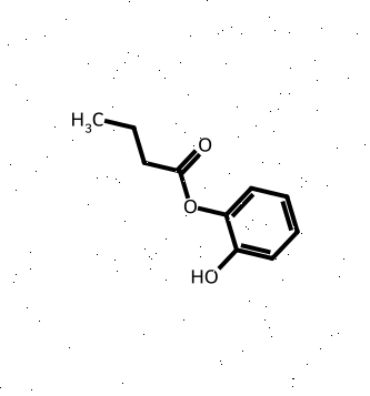 CCCC(=O)Oc1ccccc1O